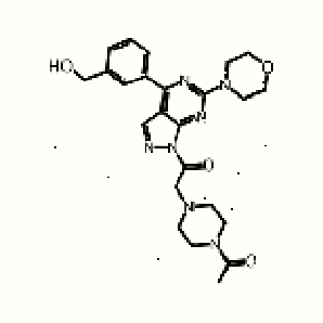 CC(=O)N1CCN(CC(=O)n2ncc3c(-c4cccc(CO)c4)nc(N4CCOCC4)nc32)CC1